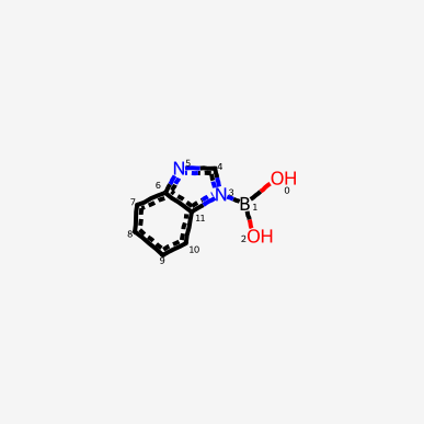 OB(O)n1cnc2ccccc21